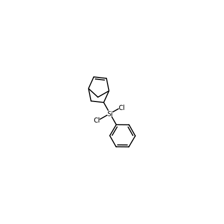 Cl[Si](Cl)(c1ccccc1)C1CC2C=CC1C2